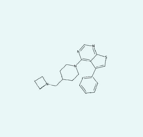 c1ccc(-c2csc3ncnc(N4CCC(CN5CCC5)CC4)c23)cc1